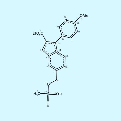 CCOC(=O)c1cn2cc(COS(C)(=O)=O)ccc2c1-c1ccc(OC)nc1